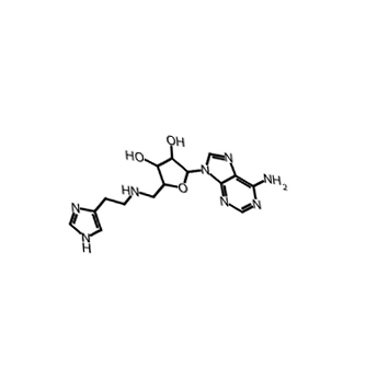 Nc1ncnc2c1ncn2C1OC(CNCCc2c[nH]cn2)C(O)C1O